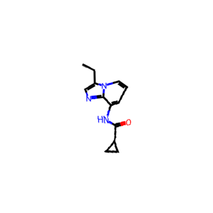 CCc1cnc2c(NC(=O)C3CC3)cccn12